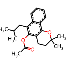 C[C](C)Cc1c(OC(C)=O)c2c(c3ccccc13)OC(C)(C)CC2